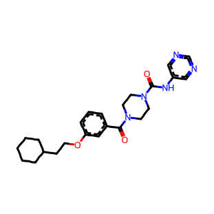 O=C(Nc1cncnc1)N1CCN(C(=O)c2cccc(OCCC3CCCCC3)c2)CC1